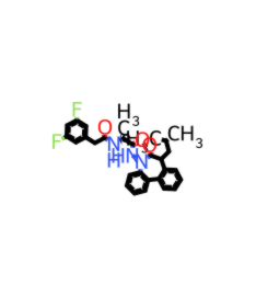 CC(C)CC1C(=O)N(NC(=O)[C@H](C)NC(=O)Cc2cc(F)cc(F)c2)c2ccccc2-c2ccccc21